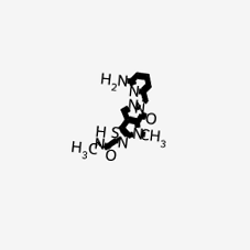 CNC(=O)c1nc2c(s1)c1cnn(Cc3cccc(N)n3)c(=O)c1n2C